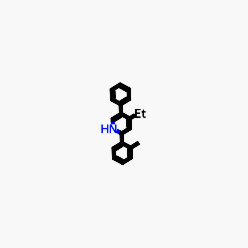 CCC1=CC(c2ccccc2C)NC=C1c1ccccc1